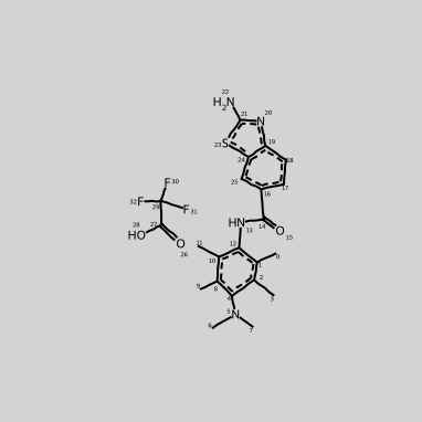 Cc1c(C)c(N(C)C)c(C)c(C)c1NC(=O)c1ccc2nc(N)sc2c1.O=C(O)C(F)(F)F